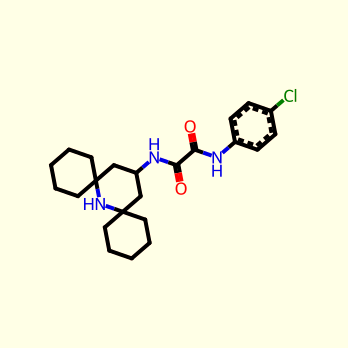 O=C(Nc1ccc(Cl)cc1)C(=O)NC1CC2(CCCCC2)NC2(CCCCC2)C1